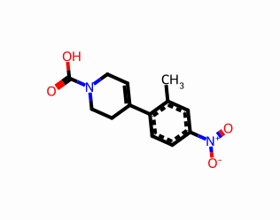 Cc1cc([N+](=O)[O-])ccc1C1=CCN(C(=O)O)CC1